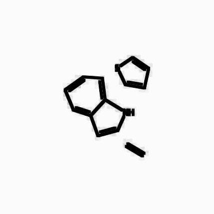 C=C.c1ccc2[nH]ccc2c1.c1ccsc1